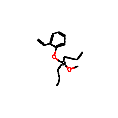 C=Cc1ccccc1O[Si](CCC)(CCC)OC